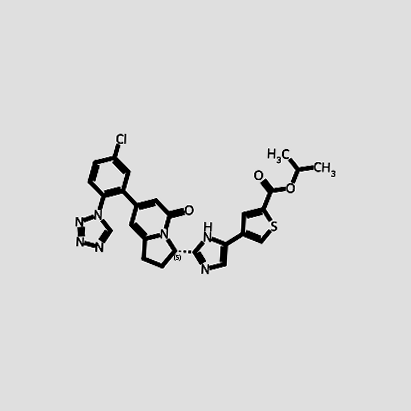 CC(C)OC(=O)c1cc(-c2cnc([C@@H]3CCc4cc(-c5cc(Cl)ccc5-n5cnnn5)cc(=O)n43)[nH]2)cs1